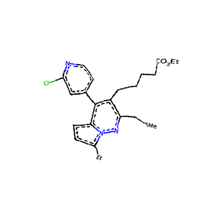 CCOC(=O)CCCCc1c(CSC)nn2c(CC)ccc2c1-c1ccnc(Cl)c1